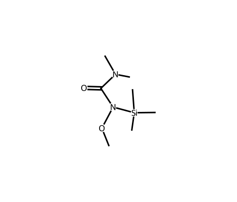 CON(C(=O)N(C)C)[Si](C)(C)C